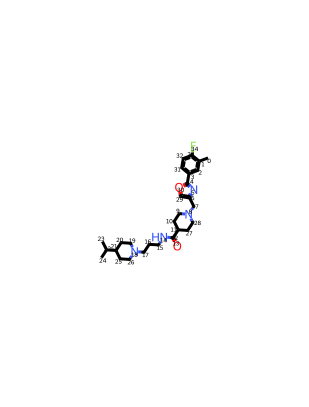 Cc1cc(-c2nc(CN3CCC(C(=O)NCCCN4CCC(C(C)C)CC4)CC3)co2)ccc1F